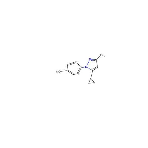 N#Cc1ccc(-n2nc(C(F)(F)F)cc2C2CC2)cc1